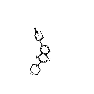 C=C/C=C\C(=C/N)c1ccc2ncc(N3CCOCC3)nc2c1